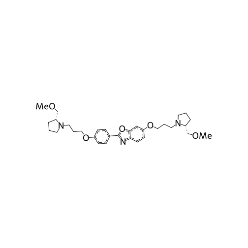 COC[C@H]1CCCN1CCCOc1ccc(-c2nc3ccc(OCCCN4CCC[C@@H]4COC)cc3o2)cc1